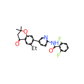 CCc1cc2c(cc1-c1ccc(NC(=O)c3c(F)cccc3F)nc1)OC(C)(C)CC2=O